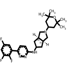 CC1(C)CC(N2C[C@H]3CC(Nc4ccc(-c5cc(F)cc(F)c5F)nn4)C[C@H]3C2)CC(C)(C)O1